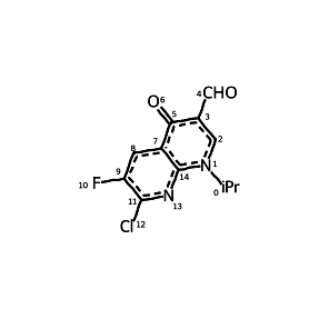 CC(C)n1cc(C=O)c(=O)c2cc(F)c(Cl)nc21